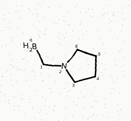 BCN1CCCC1